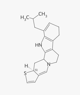 CC(C)CC1=CCCc2c1[nH]c1c2CCN2C=C3C=CS[C@H]3CC12